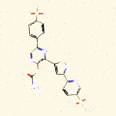 CNS(=O)(=O)c1ccc(-c2cc(-c3nc(-c4ccc(S(=O)(=O)C(C)C)cc4)cnc3OC(N)=O)on2)nc1